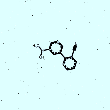 CN(C)c1cncc(-c2ncccc2C#N)c1